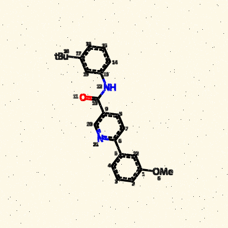 COc1cccc(-c2ccc(C(=O)Nc3cccc(C(C)(C)C)c3)cn2)c1